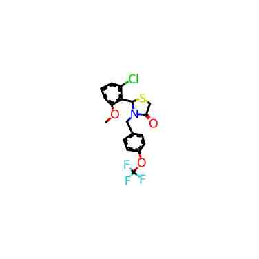 COc1cccc(Cl)c1C1SCC(=O)N1Cc1ccc(OC(F)(F)F)cc1